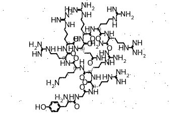 N=C(N)NCCC[C@H](NC(=O)[C@H](CCCNC(=N)N)NC(=O)[C@H](CCCNC(=N)N)NC(=O)[C@H](CCC(N)=O)NC(=O)[C@H](CCCNC(=N)N)NC(=O)[C@H](CCCNC(=N)N)NC(=O)[C@H](CCCCN)NC(=O)[C@H](CCCNC(=N)N)NC(=O)[C@H](CCCNC(=N)N)NC(=O)CNC(=O)[C@@H](N)Cc1ccc(O)cc1)C(N)=O